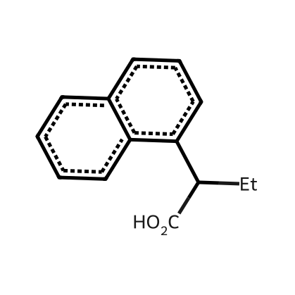 CCC(C(=O)O)c1cccc2ccccc12